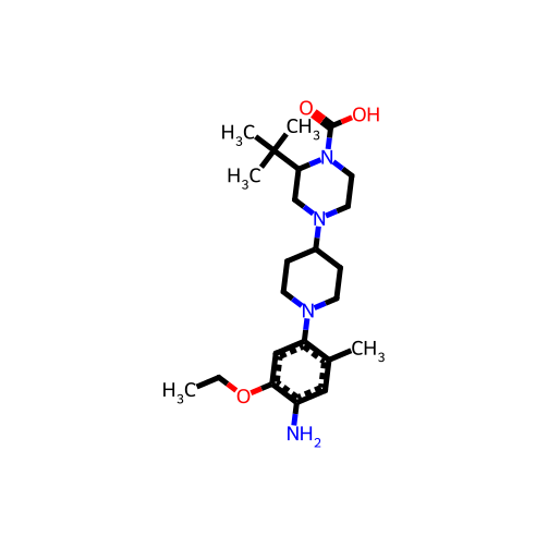 CCOc1cc(N2CCC(N3CCN(C(=O)O)C(C(C)(C)C)C3)CC2)c(C)cc1N